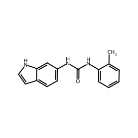 Cc1ccccc1NC(=O)Nc1ccc2cc[nH]c2c1